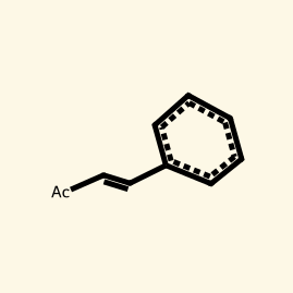 [CH2]C(=O)C=Cc1ccccc1